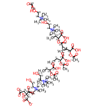 CCC(OC(C)=O)C(=O)O.CCC(OC(C)=O)C(=O)O.CCC(OC(C)=O)C(=O)O.CCC(OC(C)=O)C(=O)O.C[N+](C)(C)CCO.C[N+](C)(C)CCO.C[N+](C)(C)CCO.C[N+](C)(C)CCO.O=C([O-])CC(O)(CC(=O)[O-])C(=O)[O-].O=C[O-]